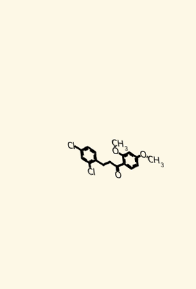 COc1ccc(C(=O)CCc2ccc(Cl)cc2Cl)c(OC)c1